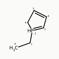 CC[PH]1=CC=CC1